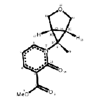 COC(=O)c1cccn([C@]2(C)[C@@H]3COC[C@@H]32)c1=O